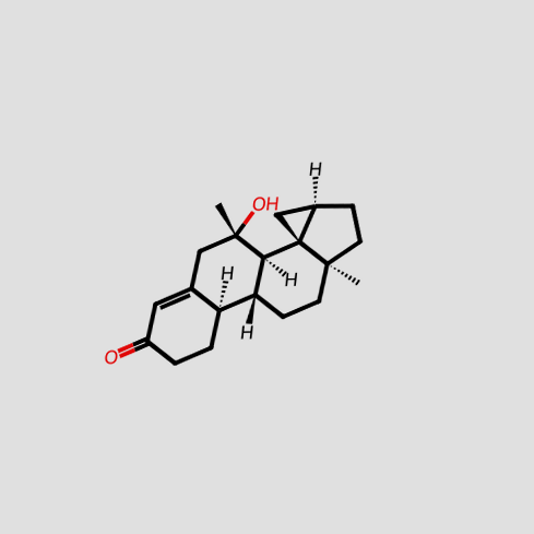 C[C@]12CC[C@H]3[C@H]([C@@]14C[C@H]4CC2)[C@@](C)(O)CC1=CC(=O)CC[C@@H]13